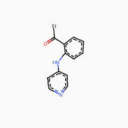 CCC(=O)c1ccccc1Nc1ccncc1